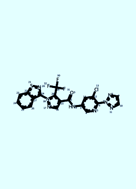 O=C(Nc1cnc(-n2nccn2)c(Cl)c1)c1cnn(-c2nsc3ccccc23)c1C(F)(F)F